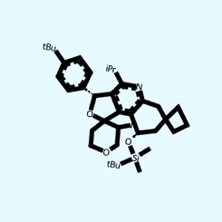 CC(C)c1nc2c(c3c1[C@@H](c1ccc(C(C)(C)C)cc1)OC31CCOCC1I)[C@@H](O[Si](C)(C)C(C)(C)C)CC1(CCC1)C2